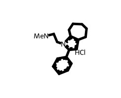 CNCCn1c(-c2ccccc2)cc2c1CCCCC2.Cl